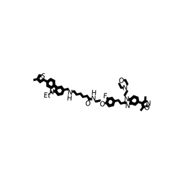 CCn1c2ccc(CNCCCCCC(=O)NCCOc3ccc(CCc4nc5cc(-c6c(C)noc6C)ccc5n4CCN4CCOCC4)cc3F)cc2c2ccc(-c3cc(C)cs3)cc21